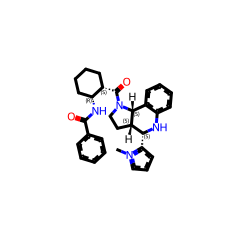 Cn1cccc1[C@H]1Nc2ccccc2[C@@H]2[C@H]1CCN2C(=O)[C@H]1CCCC[C@H]1NC(=O)c1ccccc1